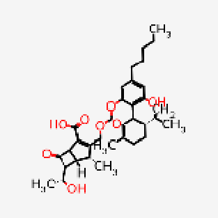 C=C(C)[C@@H]1CCC(C)=C[C@H]1c1c(O)cc(CCCCC)cc1OC(=O)OCC1=C(C(=O)O)C2C(=O)[C@H]([C@@H](C)O)[C@H]2[C@H]1C